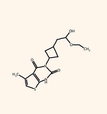 CCOC(O)CC1CC(n2c(=O)[nH]c3scc(C)c3c2=O)C1